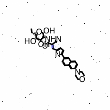 CC[C@H]1OC(O)[C@H](NC(=O)/C(C#N)=C/c2ccc(-c3ccc4cc(N5CCOCC5)ccc4c3)n2C)[C@@H](O)[C@@H]1O